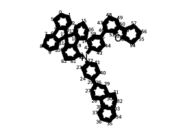 c1ccc2c(c1)-c1ccccc1C21c2ccccc2-c2c(N(c3ccc(-c4ccc5c(ccc6ccccc65)c4)cc3)c3ccc(-c4cccc5c4oc4ccccc45)cc3)cccc21